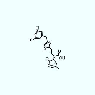 CC(C)CC(C(=O)O)N(CCc1nc(Cc2cc(Cl)cc(Cl)c2)cs1)C(=O)O